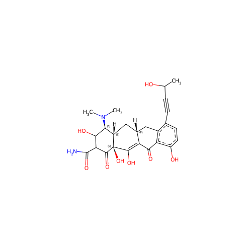 CC(O)C#Cc1ccc(O)c2c1C[C@H]1C[C@H]3[C@H](N(C)C)C(O)C(C(N)=O)C(=O)[C@@]3(O)C(O)=C1C2=O